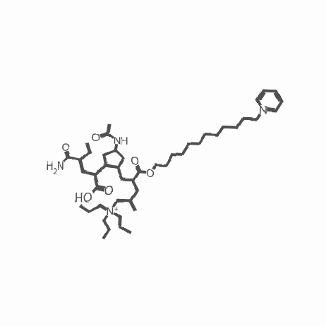 CCC[N+](CCC)(CCC)CC(C)CC(CC1CC(NC(C)=O)CC1C(CC(CC)C(N)=O)C(=O)O)C(=O)OCCCCCCCCCCCC[n+]1ccccc1